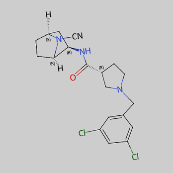 N#CN1[C@H]2CC[C@@H]1[C@H](NC(=O)[C@@H]1CCN(Cc3cc(Cl)cc(Cl)c3)C1)C2